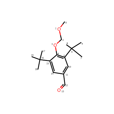 COCOc1c(C(C)(C)C)cc(C=O)cc1C(C)(C)C